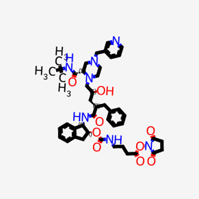 CC(C)(C)NC(=O)[C@@H]1CN(Cc2cccnc2)CCN1C[C@@H](O)C[C@@H](Cc1ccccc1)C(=O)N[C@H]1c2ccccc2C[C@H]1OC(=O)NCCCC(=O)ON1C(=O)CCC1=O